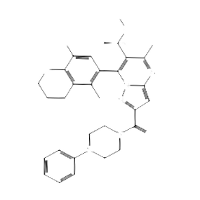 Cc1nc2cc(C(=O)N3CCN(c4ccccc4)CC3)nn2c(-c2cc(F)c3c(c2C)CCCO3)c1[C@H](OC(C)(C)C)C(=O)O